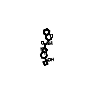 O=C(NC1COc2ccccc2C1)c1cn2c(n1)CCC(C1(O)CCC1)C2